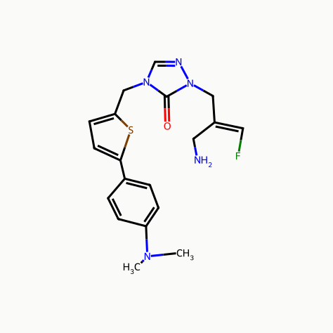 CN(C)c1ccc(-c2ccc(Cn3cnn(C/C(=C/F)CN)c3=O)s2)cc1